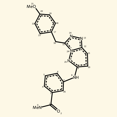 CNC(=O)c1cccc(Nc2ccc3nnc(Cc4ccc(OC)cc4)n3n2)c1